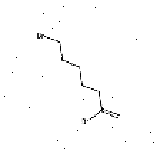 C=C(Br)CCCCCBr